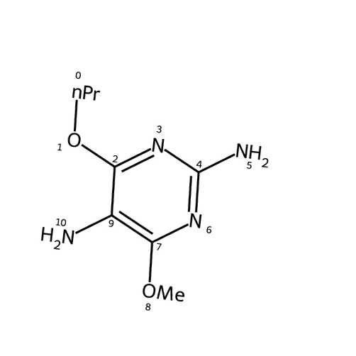 CCCOc1nc(N)nc(OC)c1N